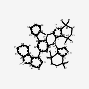 CC1(C)CCC(C)(C)c2c(N3c4cc(-c5cccc6sc7ccccc7c56)cc5c4B(c4ccccc4-5)c4sc5c(c43)C(C)(C)CCC5(C)C)csc21